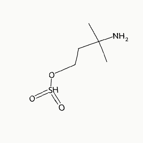 CC(C)(N)CCO[SH](=O)=O